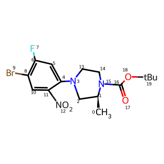 C[C@H]1CN(c2cc(F)c(Br)cc2[N+](=O)[O-])CCN1C(=O)OC(C)(C)C